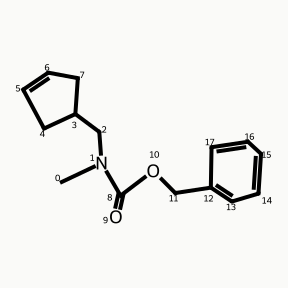 CN(CC1CC=CC1)C(=O)OCc1ccccc1